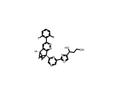 CC1(C)[C@H]2CC[C@@]1(c1cncc(-c3nc(C(O)CCO)co3)n1)c1nnc(-c3c(F)cccc3F)cc12